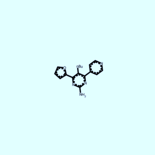 CCCCc1c(-c2ccncc2)nc(N)nc1-c1ccco1